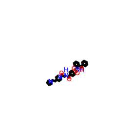 O=C(NCC(=O)N1CCC(CCN2CCCC2)CC1)c1ccc(S(=O)(=O)Nc2ccccc2C(=O)c2ccccc2)cc1